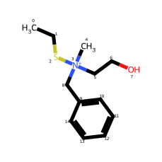 CCS[N+](C)(CCO)Cc1ccccc1